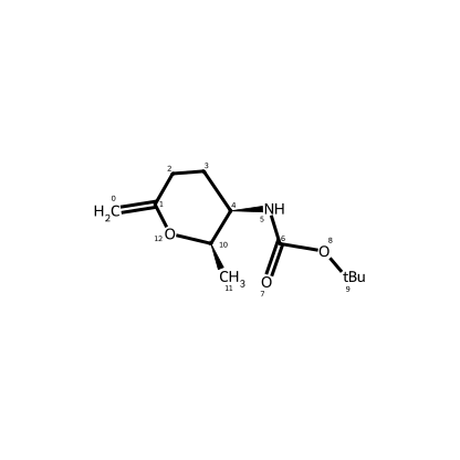 C=C1CC[C@@H](NC(=O)OC(C)(C)C)[C@@H](C)O1